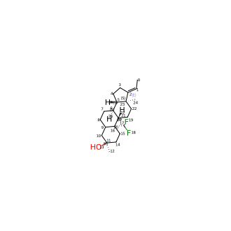 C/C=C1\CC[C@H]2[C@@H]3CCC4C[C@](C)(O)CC[C@]4(C(F)F)[C@H]3CC[C@]12C